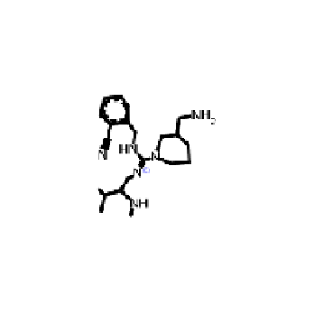 CNC(C/N=C(\NCc1ccccc1C#N)N1CCCC(CN)C1)C(C)C